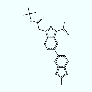 CC(=O)c1nn(CC(=O)OC(C)(C)C)c2ccc(-c3ccc4nc(C)nn4c3)cc12